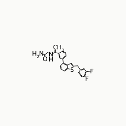 C=C(NCC(N)=O)c1cccc(-c2cccc3sc(Cc4ccc(F)c(F)c4)cc23)c1